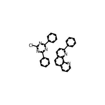 Clc1nc(-c2ccccc2)nc(-c2ccccc2)n1.c1ccc(-c2ccc3ccc4cccnc4c3n2)cc1